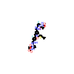 COC(=O)N[C@H](C(=O)N1CCC[C@H]1c1ncc(-c2cc(F)c3c(c2)OC(c2ccc(C4CC4)s2)N2c4ccc(-c5cnc([C@@H]6C[C@@H](F)CN6C(=O)[C@@H](NC(=O)OC)C(C)C)[nH]5)cc4CC32)[nH]1)C(C)C